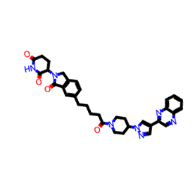 O=C1CCC(N2Cc3ccc(CCCCC(=O)N4CCC(n5cc(-c6cnc7ccccc7n6)cn5)CC4)cc3C2=O)C(=O)N1